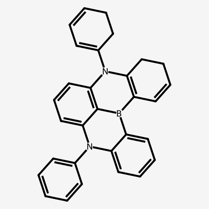 C1=CCCC(N2C3=C(C=CCC3)B3c4ccccc4N(c4ccccc4)c4cccc2c43)=C1